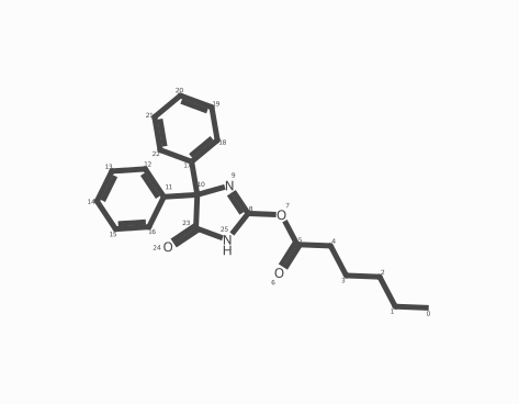 CCCCCC(=O)OC1=NC(c2ccccc2)(c2ccccc2)C(=O)N1